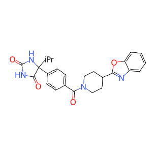 CC(C)C1(c2ccc(C(=O)N3CCC(c4nc5ccccc5o4)CC3)cc2)NC(=O)NC1=O